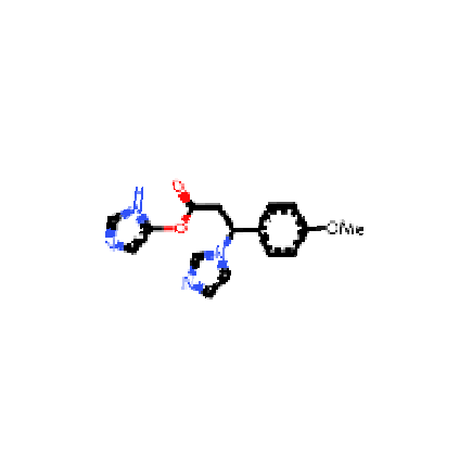 COc1ccc(C(CC(=O)Oc2cnc[nH]2)n2ccnc2)cc1